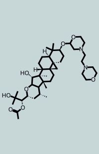 CC(=O)O[C@@H]([C@H]1C[C@@H](C)C2C(O1)[C@H](O)[C@@]1(C)[C@@H]3CC[C@H]4C(C)(C)[C@@H](OC5CN(CCN6CCOCC6)CCO5)CC[C@@]45C[C@@]35CC[C@]21C)C(C)(C)O